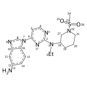 CCN(c1nccc(-n2cnc3cc(N)ccc32)n1)C1CCCN(S(C)(=O)=O)C1